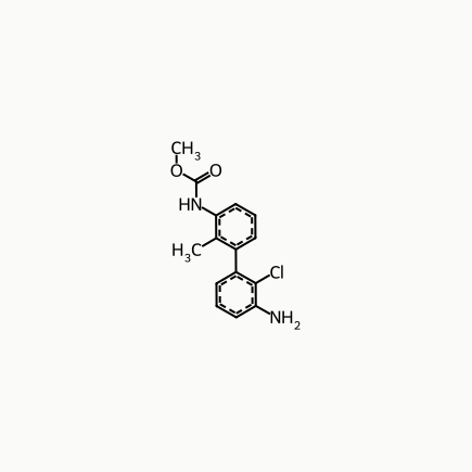 COC(=O)Nc1cccc(-c2cccc(N)c2Cl)c1C